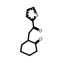 O=C(CC1CCCCC1=O)c1cccs1